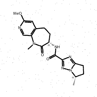 COc1cc2c(cn1)N(C)C(=O)[C@@H](NC(=O)c1nc3n(n1)[C@@H](C)CC3)CC2